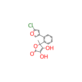 CC1(c2ccccc2-c2coc(Cl)c2)OC(=O)C(O)=C1O